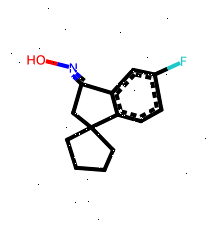 ON=C1CC2(CCCC2)c2ccc(F)cc21